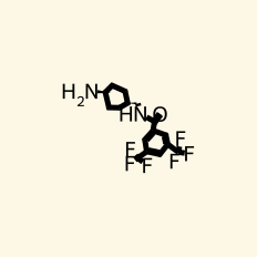 N[C@H]1CC[C@H](CNC(=O)c2cc(C(F)(F)F)cc(C(F)(F)F)c2)CC1